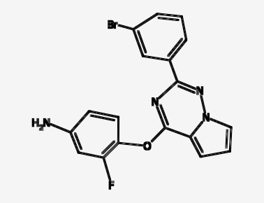 Nc1ccc(Oc2nc(-c3cccc(Br)c3)nn3cccc23)c(F)c1